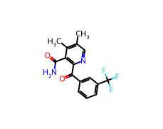 Cc1cnc(C(=O)c2cccc(C(F)(F)F)c2)c(C(N)=O)c1C